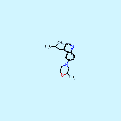 CC(C)Cc1ccnc2ccc(N3CCOC(C)C3)cc12